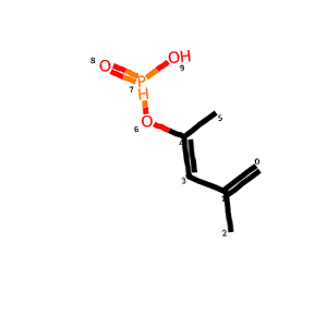 C=C(C)/C=C(\C)O[PH](=O)O